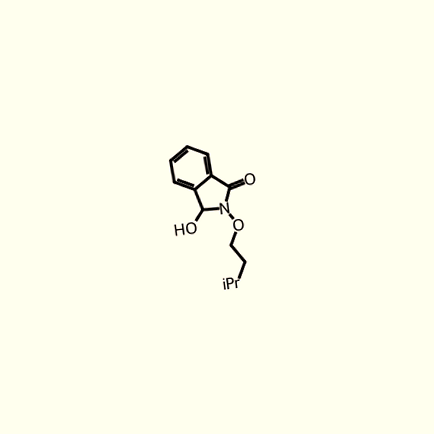 CC(C)CCON1C(=O)c2ccccc2C1O